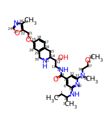 CCC(C)Nc1cc(C(=O)NC[C@@H](O)C2Cc3ccc(OCc4ocnc4C)cc3CN2)cc(N(C)CCOC)n1